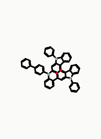 c1ccc(-c2ccc(N(c3ccc4c5ccccc5n(-c5ccccc5)c4c3)c3ccccc3-c3ccc4c5ccccc5n(-c5ccccc5)c4c3)cc2)cc1